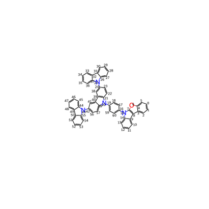 c1ccc2c(c1)oc1c2c2ccccc2n1-c1ccc(-n2c3ccc(-n4c5ccccc5c5ccccc54)cc3c3cc(-n4c5ccccc5c5ccccc54)ccc32)cc1